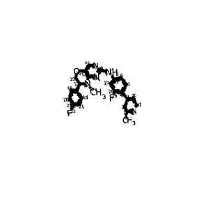 Cc1cc(-c2ccc(Nc3ncc4c(n3)N(C)C(c3ccc(F)cc3)CO4)cc2F)ccn1